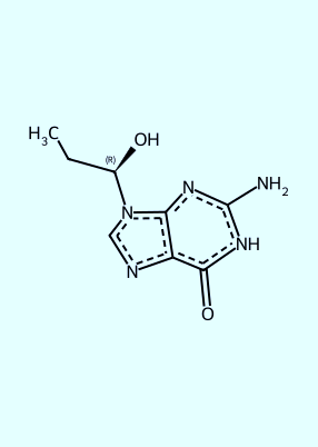 CC[C@@H](O)n1cnc2c(=O)[nH]c(N)nc21